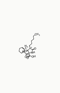 CCCCCC[C@H]1C(=O)N[C@](C(=O)O)([C@@H](O)[C@@H]2C=CCCC2)[C@@]1(C)O